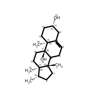 C[C@H]1CC[C@@]2(C)C3CC=C4C[C@@H](O)CC[C@]4(C)[C@@]3(O)CC[C@]12C